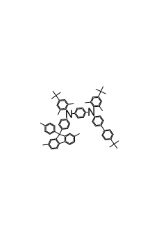 Cc1ccc(C2(c3ccc(N(c4ccc(N(c5ccc(-c6ccc(C(C)(C)C)cc6)cc5)c5c(C)cc(C(C)(C)C)cc5C)cc4)c4c(C)cc(C(C)(C)C)cc4C)cc3)c3cc(C)ccc3-c3ccc(C)cc32)cc1